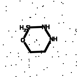 C1CO[SiH2]NN1